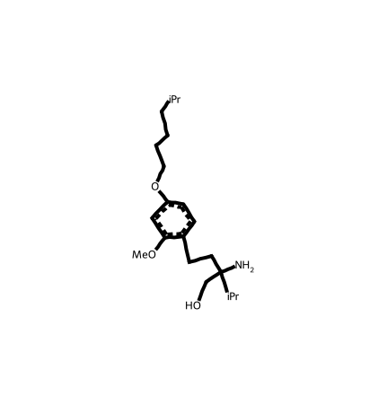 COc1cc(OCCCCC(C)C)ccc1CCC(N)(CO)C(C)C